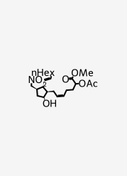 CCCCCC/C=C/[C@H]1[C@H](C[N+](=O)[O-])C[C@@H](O)[C@@H]1C/C=C\CCC(OC(C)=O)C(=O)OC